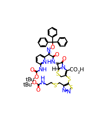 CC(C)(C)OC(=O)NCCSCc1nnsc1SC1=C(C(=O)O)N2C(=O)[C@@H](NC(=O)/C(=N\OC(c3ccccc3)(c3ccccc3)c3ccccc3)c3cccc(NC(=O)OC(C)(C)C)n3)[C@@H]2SC1